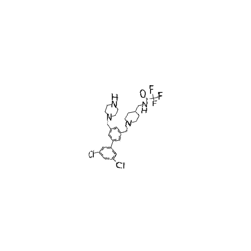 O=C(NCC1CCN(Cc2cc(CN3CCNCC3)cc(-c3cc(Cl)cc(Cl)c3)c2)CC1)C(F)(F)F